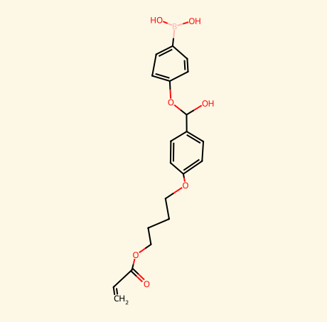 C=CC(=O)OCCCCOc1ccc(C(O)Oc2ccc(B(O)O)cc2)cc1